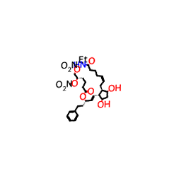 CCNC(=O)CCC/C=C\C[C@@H]1[C@@H](/C=C/[C@H](CCc2ccccc2)OC(=O)CCC[C@@H](CO[N+](=O)[O-])O[N+](=O)[O-])[C@H](O)C[C@@H]1O